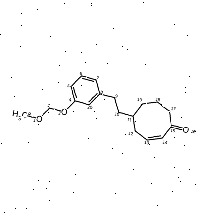 COCOc1cccc(CCC2CC=CC(=O)CCC2)c1